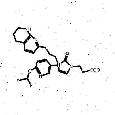 O=C([O-])CCN1C=C[N+](CCCc2ccc3c(n2)NCCC3)(c2ccc(OC(F)F)nc2)C1=O